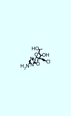 C[C@H](O)[C@H]1O[C@@H](n2ncc(N)nc2=O)[C@@](F)(C#CCl)C1O